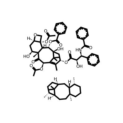 CC(=O)O[C@H]1C(=O)[C@@]2(C)[C@H]([C@H](OC(=O)c3ccccc3)[C@]3(O)C[C@H](OC(=O)[C@H](O)[C@@H](NC(=O)c4ccccc4)c4ccccc4)C(C)=C1C3(C)C)[C@]1(OC(C)=O)CO[C@@H]1C[C@@H]2O.C[C@@H]1CCC[C@@]2(C)CC[C@H]3[C@H](C)CC[C@@H](C[C@H]12)C3(C)C